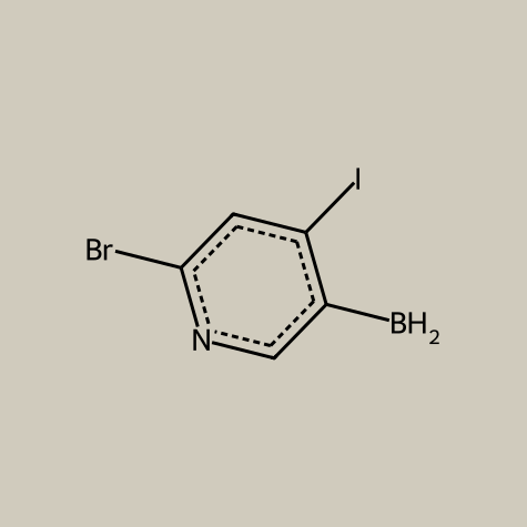 Bc1cnc(Br)cc1I